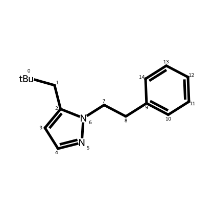 CC(C)(C)Cc1ccnn1CCc1ccccc1